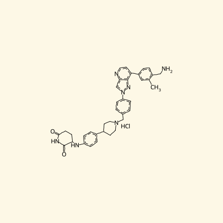 Cc1cc(-c2ccnc3cn(-c4ccc(CN5CCC(c6ccc(NC7CCC(=O)NC7=O)cc6)CC5)cc4)nc23)ccc1CN.Cl